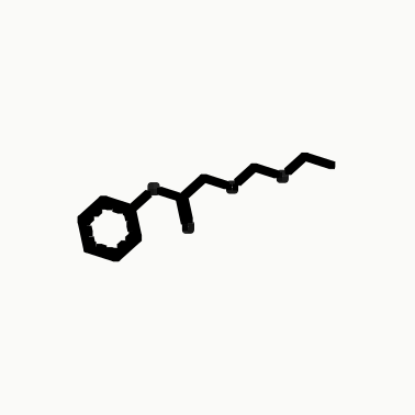 CCOCOCC(=O)Oc1ccccc1